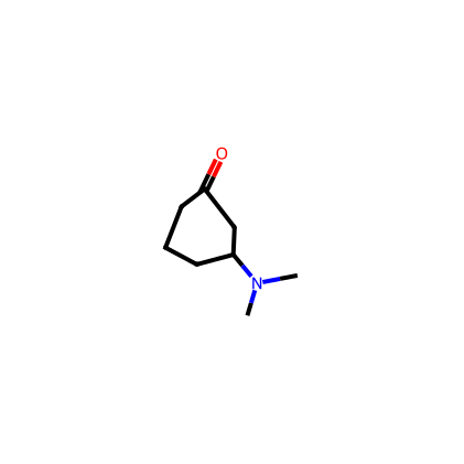 CN(C)C1CCCC(=O)C1